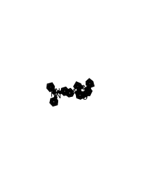 c1ccc(-c2nc(-c3ccccc3)nc(-c3ccc4cc(-n5c6ccc7oc8ccc9c%10ccccc%10n%10c%11cccc5c%11c6c7c8c9%10)ccc4c3)n2)cc1